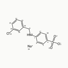 O=S(=O)([O-])c1ccc(NCc2cccc(Cl)c2)cc1.[Na+]